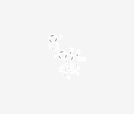 CC(C)(C)C(CO)n1cc(C(=O)O)c(=O)c2cc(NCc3c(F)cccc3F)c(F)cc21